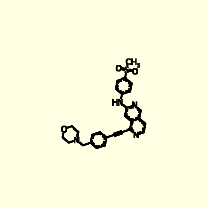 CS(=O)(=O)c1ccc(Nc2cc3c(C#Cc4ccc(CN5CCOCC5)cc4)nccc3cn2)cc1